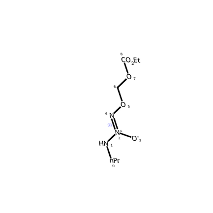 CCCN/[N+]([O-])=N/OCOC(=O)OCC